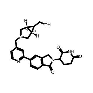 O=C1CCC(N2Cc3cc(-c4cc(CN5C[C@@H]6C(CO)[C@@H]6C5)ccn4)ccc3C2=O)C(=O)N1